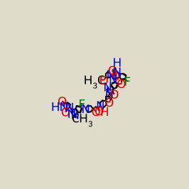 COC1CCN(S(=O)(=O)Nc2ccc(F)c(Oc3ccc4ncn([C@H]5COC6(CCN(C(=O)CC7(O)CCN(c8cc9c(cc8F)c(N8CCC(=O)NC8=O)nn9C)CC7)CC6)C5)c(=O)c4c3)c2C#N)C1